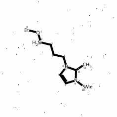 CCO[SiH2]CCCN1C=CN(SC)C1C